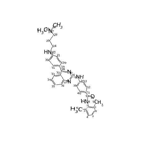 Cc1cccc(C)c1NC(=O)c1ccc(Nc2nc(-c3ccc(NCCCN(C)C)cc3)c3ccccc3n2)cc1